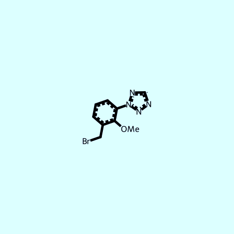 COc1c(CBr)cccc1-n1n[c]nn1